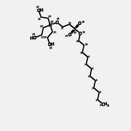 CCCCCCCCCCCCOS(=O)(=O)CCO[N+](CCO)(CCO)CCO